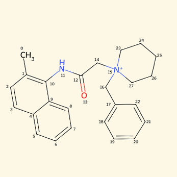 Cc1ccc2ccccc2c1NC(=O)C[N+]1(Cc2ccccc2)CCCCC1